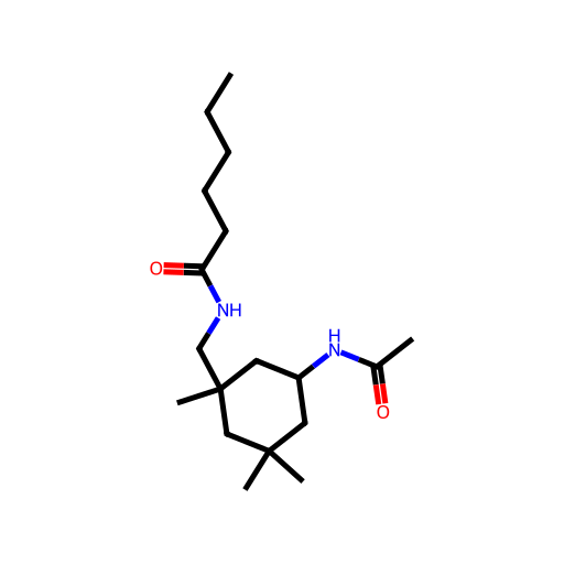 CCCCCC(=O)NCC1(C)CC(NC(C)=O)CC(C)(C)C1